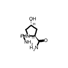 CC(C)N.NC(=O)[C@@H]1C[C@@H](O)CN1